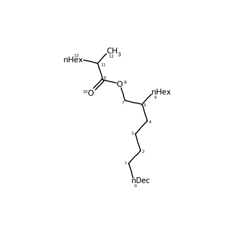 CCCCCCCCCCCCCCC(CCCCCC)COC(=O)C(C)CCCCCC